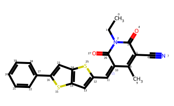 CCN1C(=O)C(C#N)=C(C)/C(=C/c2cc3sc(-c4ccccc4)cc3s2)C1=O